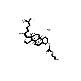 CC(C)CCC[C@@H](C)[C@H]1CC[C@H]2[C@@H]3CC=C4C[C@@H](OC(=O)NCCN)CC[C@]4(C)[C@H]3CC[C@]12C.[NaH]